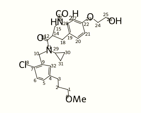 COCCCc1ccc(Cl)c(CN(C(=O)C(CNC(=O)O)Cc2ccc(OCCO)cc2)C2CC2)c1